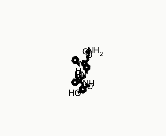 NC(=O)OCCc1cn(Cc2ccccc2)c2cc(CNCc3[nH]c4ccccc4c3C3NC(=O)c4ccc(O)cc43)ccc12